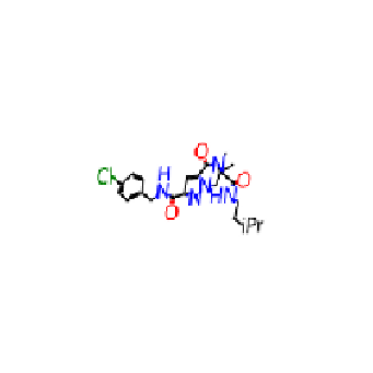 CC(C)CCNC(=O)C1(C)Cn2nc(C(=O)NCc3ccc(Cl)cc3)cc2C(=O)N1C